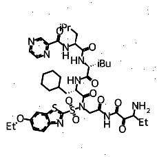 CCOc1ccc2nc(S(=O)(=O)N(CC(=O)NC(=O)C(=O)C(N)CC)C(=O)[C@H](CC3CCCCC3)NC(=O)[C@@H](NC(=O)[C@H](CC(C)C)NC(=O)c3cnccn3)[C@@H](C)CC)sc2c1